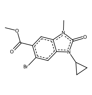 COC(=O)c1cc2c(cc1Br)n(C1CC1)c(=O)n2C